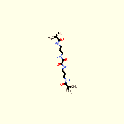 C=C(C)C(=O)NCCCNC(=O)C(=O)NCCCNC(=O)C(=C)C